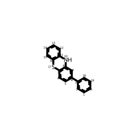 c1ccc(-c2ccc3c(c2)Nc2ccccc2S3)cc1